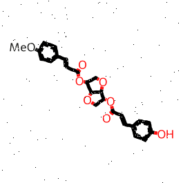 COc1ccc(/C=C/C(=O)OC2COC3C(OC(=O)/C=C/c4ccc(O)cc4)COC23)cc1